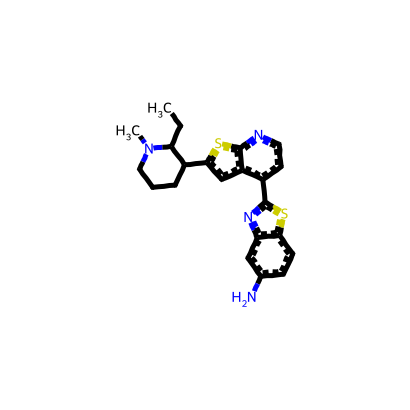 CCC1C(c2cc3c(-c4nc5cc(N)ccc5s4)ccnc3s2)CCCN1C